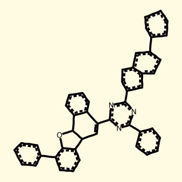 C1=C(c2nc(-c3ccccc3)nc(-c3ccc4cc(-c5ccccc5)ccc4c3)n2)c2ccccc2C2Oc3c(-c4ccccc4)cccc3C12